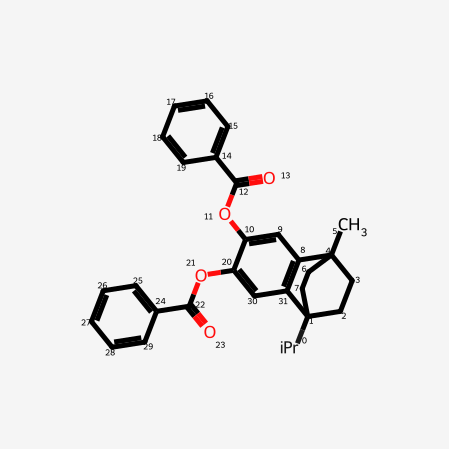 CC(C)C12CCC(C)(CC1)c1cc(OC(=O)c3ccccc3)c(OC(=O)c3ccccc3)cc12